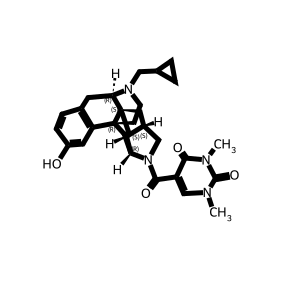 Cn1cc(C(=O)N2C[C@H]3C[C@@]45CC[C@@H]2[C@@H]3[C@@]42CCN(CC3CC3)[C@@H]5Cc3ccc(O)cc32)c(=O)n(C)c1=O